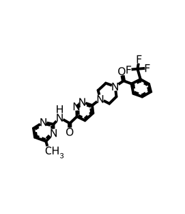 Cc1ccnc(NC(=O)c2ccc(N3CCN(C(=O)c4ccccc4C(F)(F)F)CC3)nn2)n1